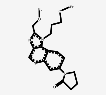 CCOCc1nc2cnc3cc(N4CCCC4=O)ccc3c2n1CCCOC(C)C